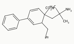 CC(C)CC1C=C(c2ccccc2)C=CC1(CC(C)(C)N)C(=O)O